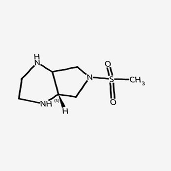 CS(=O)(=O)N1CC2NCCN[C@H]2C1